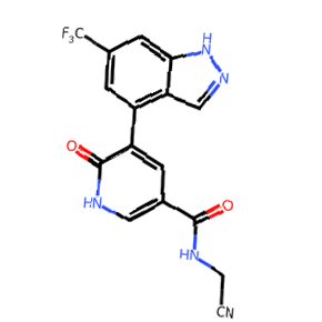 N#CCNC(=O)c1c[nH]c(=O)c(-c2cc(C(F)(F)F)cc3[nH]ncc23)c1